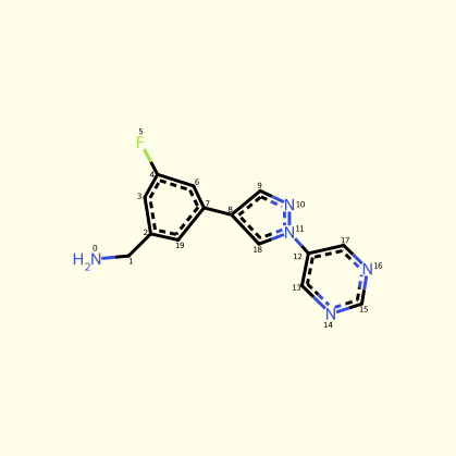 NCc1cc(F)cc(-c2cnn(-c3cncnc3)c2)c1